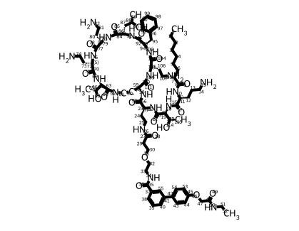 CCCCCCCCC(=O)N[C@@H](CCCN)C(=O)N[C@H](C(=O)N[C@@H](CCNC(=O)CCOCCNC(=O)c1cccc(-c2ccc(OCC(=O)NCC)cc2)c1)C(=O)N[C@H]1CCNC(=O)[C@H]([C@@H](C)O)NC(=O)[C@H](CCN)NC(=O)[C@H](CCN)NC(=O)[C@H](CC(C)C)NC(=O)[C@@H](Cc2ccccc2)NC(=O)[C@H](CCN)NC1=O)[C@@H](C)O